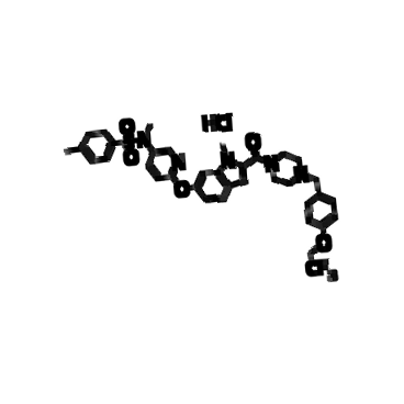 Cc1ccc(S(=O)(=O)N(C)c2ccc(Oc3ccc4cc(C(=O)N5CCN(Cc6ccc(OCC(F)(F)F)cc6)CC5)n(C)c4c3)nc2)cc1.Cl